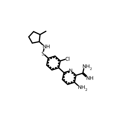 CC1CCCC1NSc1ccc(-c2ccc(N)c(C(=N)N)n2)c(Cl)c1